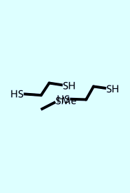 CSC.SCCS.SCCS